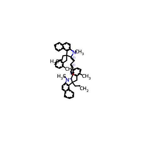 C=CCC1(Cc2ccccc2C)C(/C=C/C=C/C=C2/N(C)c3ccc4ccccc4c3C2(CC=C)Cc2ccccc2C)=[N+](C)c2ccc3ccccc3c21